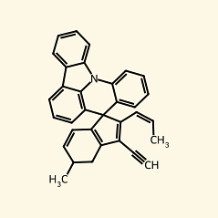 C#CC1=C(/C=C\C)C2(C3=C1CC(C)C=C3)c1ccccc1-n1c3ccccc3c3cccc2c31